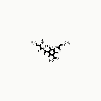 CCC(N)C(=O)N(C)C(=O)c1c(I)c(NC(=O)COC)c(I)c(C(=O)O)c1I